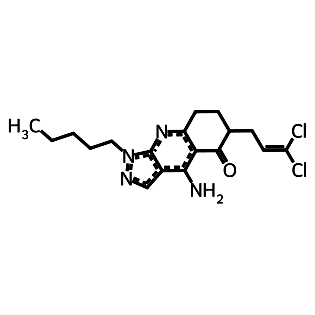 CCCCCn1ncc2c(N)c3c(nc21)CCC(CC=C(Cl)Cl)C3=O